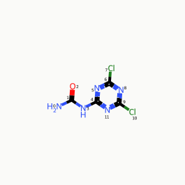 NC(=O)Nc1nc(Cl)nc(Cl)n1